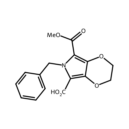 COC(=O)c1c2c(c(C(=O)O)n1Cc1ccccc1)OCCO2